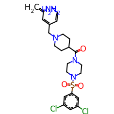 C=C(N)/C=C(\C=C/N)CN1CCC(C(=O)N2CCN(S(=O)(=O)c3cc(Cl)cc(Cl)c3)CC2)CC1